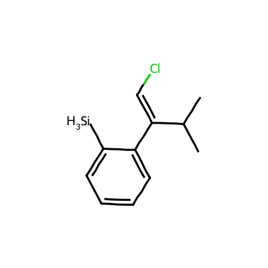 CC(C)C(=CCl)c1ccccc1[SiH3]